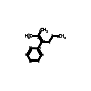 CCCC(=C(C)C)c1ccccc1